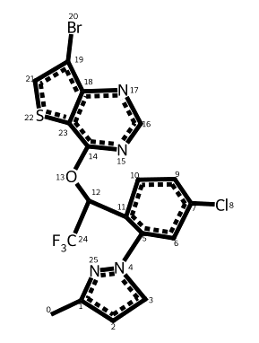 Cc1ccn(-c2cc(Cl)ccc2C(Oc2ncnc3c(Br)csc23)C(F)(F)F)n1